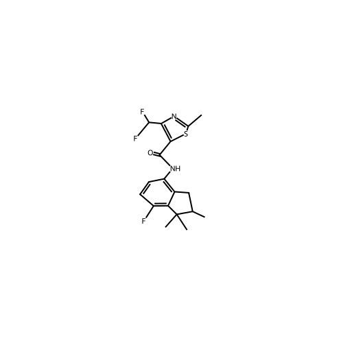 Cc1nc(C(F)F)c(C(=O)Nc2ccc(F)c3c2CC(C)C3(C)C)s1